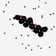 Cc1ccc2c(c1)-c1cccc3c(-c4c5ccccc5c(-c5ccc6c(c5)Oc5ccc([SiH](c7ccccc7)c7ccccc7)c7cccc-6c57)c5ccccc45)ccc(c13)O2